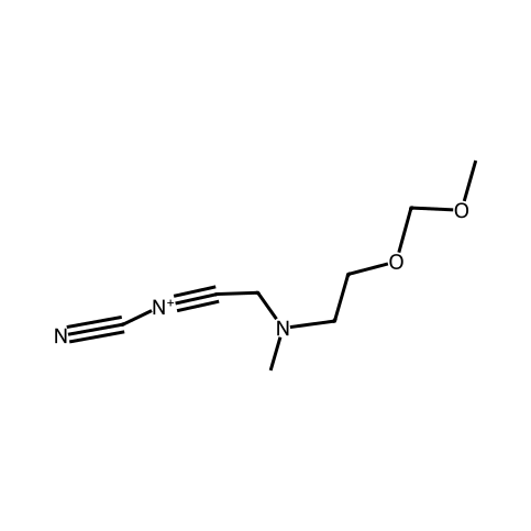 COCOCCN(C)CC#[N+]C#N